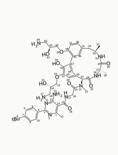 Cc1nc(-c2ccc(C(C)(C)C)cc2)nc(N)c1C(=O)NCC(=O)N(C)[C@@H]1C(=O)N[C@@H](C)C(=O)N[C@H](C)Cc2ccc(OC[C@@H](O)CN)c(c2)-c2cc1cc(OC[C@@H](O)CN)c2O